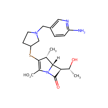 C[C@@H](O)[C@H]1C(=O)N2C(C(=O)O)=C(SC3CCN(Cc4ccc(N)nc4)C3)[C@H](C)[C@H]12